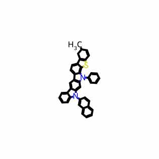 CC1C=Cc2sc3c(ccc4c5cc6c7ccccc7n(-c7ccc8ccccc8c7)c6cc5n(-c5ccccc5)c43)c2C1